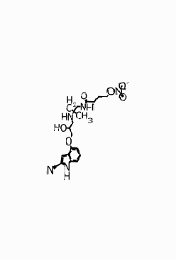 CC(C)(CNC(=O)CCCO[N+](=O)[O-])NCC(O)COc1cccc2[nH]c(C#N)cc12